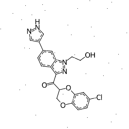 O=C(c1nn(CCO)c2cc(-c3cn[nH]c3)ccc12)C1COc2ccc(Cl)cc2O1